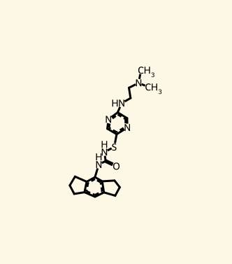 CN(C)CCNc1cnc(SNC(=O)Nc2c3c(cc4c2CCC4)CCC3)cn1